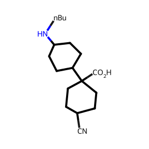 CCCCNC1CCC(C2(C(=O)O)CCC(C#N)CC2)CC1